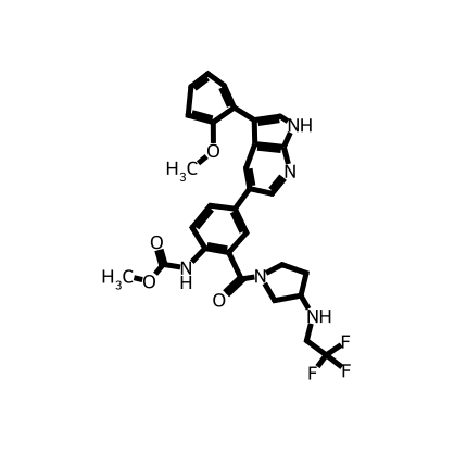 COC(=O)Nc1ccc(-c2cnc3[nH]cc(-c4ccccc4OC)c3c2)cc1C(=O)N1CCC(NCC(F)(F)F)C1